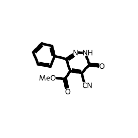 COC(=O)c1c(-c2ccccc2)n[nH]c(=O)c1C#N